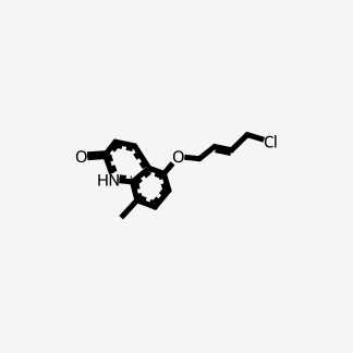 Cc1ccc(OC/C=C/CCl)c2ccc(=O)[nH]c12